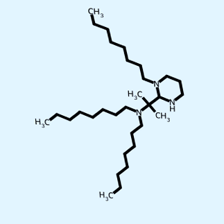 CCCCCCCCN1CCCNC1C(C)(C)N(CCCCCCCC)CCCCCCCC